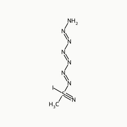 CS(#N)(I)N=NN=NN=NN